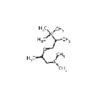 CC(CN(C)C)OCC(C)[N+](C)(C)C